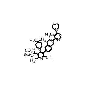 Cc1nc(C)c(C(OC(C)(C)C)C(=O)O)c(N2CCC(C)(C)CC2)c1-c1ccc2c(c1)CCN(c1ncnc(N3CCOCC3)c1C)C2